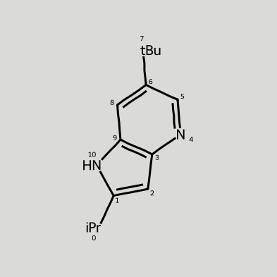 CC(C)c1cc2ncc(C(C)(C)C)cc2[nH]1